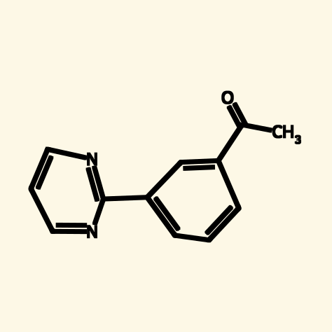 CC(=O)c1cccc(-c2ncccn2)c1